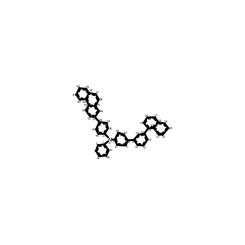 c1ccc(N(c2ccc(-c3cccc(-c4cccc5ccccc45)c3)cc2)c2ccc(-c3ccc4c(ccc5ccccc54)c3)cc2)cc1